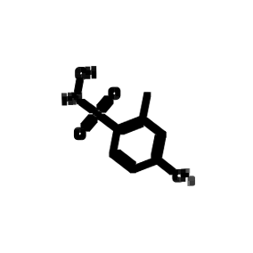 Cc1cc(C(F)(F)F)ccc1S(=O)(=O)NO